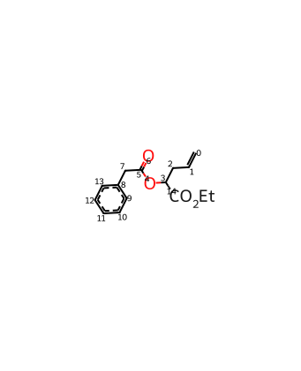 C=CCC(OC(=O)Cc1ccccc1)C(=O)OCC